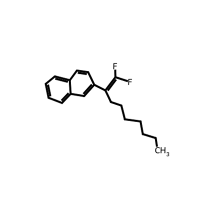 CCCCCCCC(=C(F)F)c1ccc2ccccc2c1